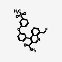 CS(=O)(=O)c1cccc(Oc2cccc(-c3c(C(N)=O)cnc4c(CF)cccc34)c2)c1